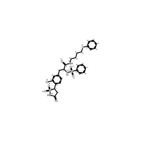 O=C1CC(c2ccc(CC(NS(=O)(=O)c3ccccc3)C(=O)NCCCCOc3ccccc3)cc2Cl)S(=O)(=O)N1